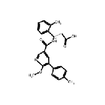 COc1ncc(C(=O)N[C@@H](CC(=O)O)c2ccccc2C)cc1-c1ccc(C)cc1